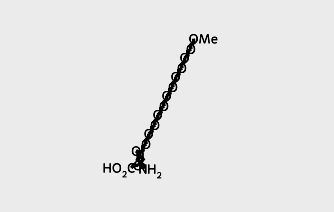 COCCOCCOCCOCCOCCOCCOCCOCCOCCOCCOCCOCCC(=O)N1CC(CN)(OCC(=O)O)C1